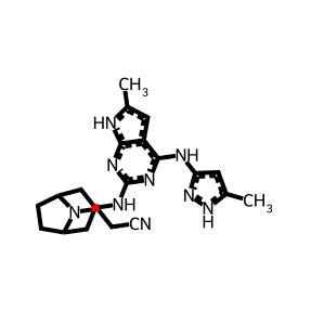 Cc1cc(Nc2nc(NC3CC4CCC(C3)N4CCC#N)nc3[nH]c(C)cc23)n[nH]1